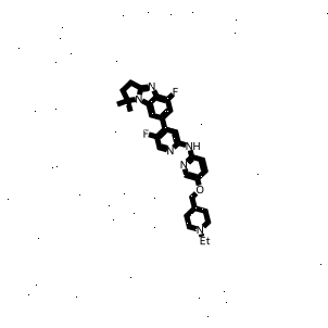 CCN1CCC(COc2ccc(Nc3cc(-c4cc(F)c5nc6n(c5c4)C(C)(C)CC6)c(F)cn3)nc2)CC1